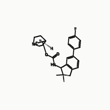 CC1(C)Cc2ccc(-c3ccc(F)cc3)cc2C1NC(=O)O[C@H]1CN2CCC1CC2